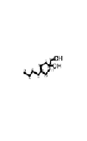 CCCC[C]1CCC(O)(CO)CC1